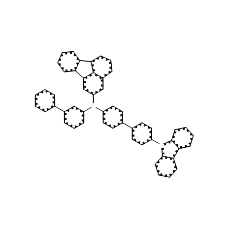 c1ccc(-c2cccc(N(c3ccc(-c4ccc(-n5c6ccccc6c6ccccc65)cc4)cc3)c3cc4c5c(cccc5c3)-c3ccccc3-4)c2)cc1